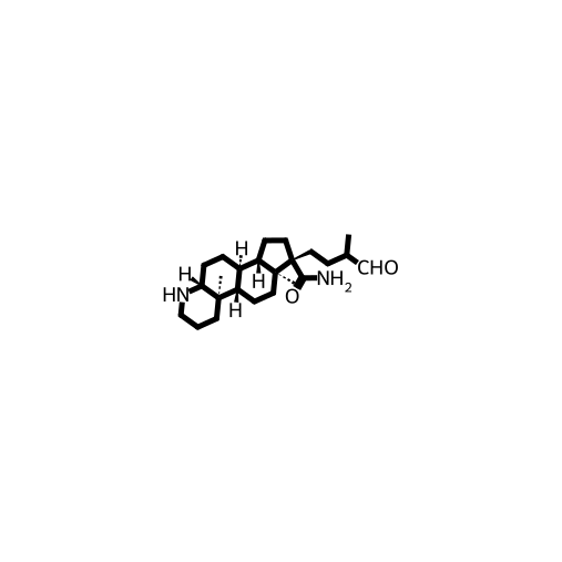 CC(C=O)CC[C@]1(C(N)=O)CC[C@H]2[C@@H]3CC[C@H]4NCCC[C@]4(C)[C@H]3CC[C@@]21C